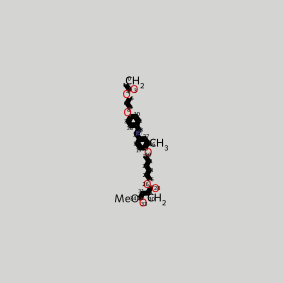 C=CC(=O)OCCCOc1ccc(/C=C/c2ccc(OCCCCCCOC(=O)C(=C)CC(=O)OC)c(C)c2)cc1